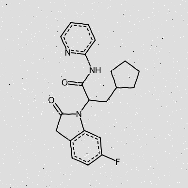 O=C(Nc1ccccn1)C(CC1CCCC1)N1C(=O)Cc2ccc(F)cc21